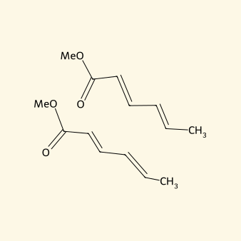 C/C=C/C=C/C(=O)OC.C/C=C/C=C/C(=O)OC